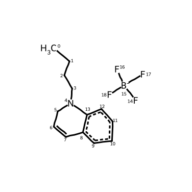 CCCCN1CC=Cc2ccccc21.F[B-](F)(F)F